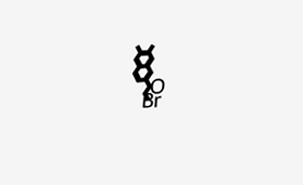 Cc1cc2ccc(C(=O)CBr)cc2cc1C